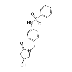 O=C1C[C@H](O)CN1Cc1ccc(NS(=O)(=O)c2ccccc2)cc1